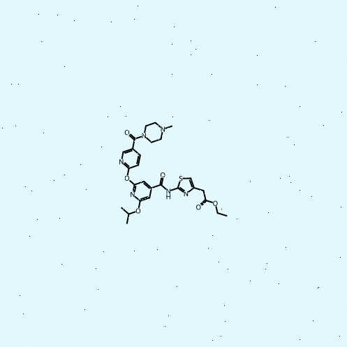 CCOC(=O)Cc1csc(NC(=O)c2cc(Oc3ccc(C(=O)N4CCN(C)CC4)cn3)nc(OC(C)C)c2)n1